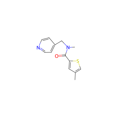 Cc1csc(C(=O)N(C)Cc2ccncc2)c1